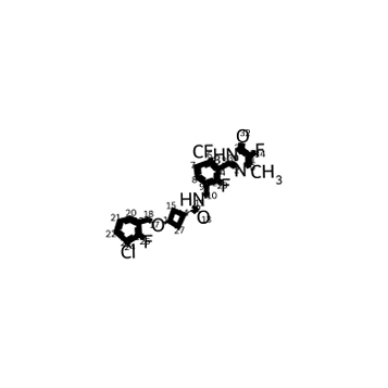 Cc1nc(-c2c(C(F)(F)F)ccc(CNC(=O)[C@H]3C[C@H](OCc4cccc(Cl)c4F)C3)c2F)[nH]c(=O)c1F